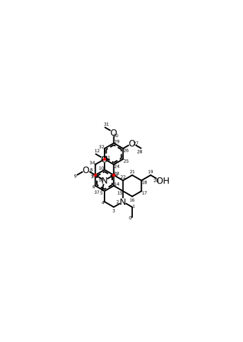 CCN1CCc2cc(OC)c(OC)cc2C12CCC(CO)CC2C1c2cc(OC)c(OC)cc2CCN1C